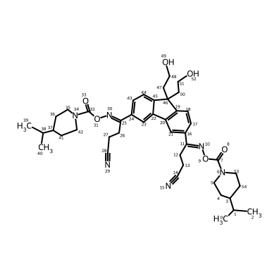 CC(C)C1CCN(C(=O)O/N=C(\CCC#N)c2ccc3c(c2)-c2cc(/C(CCC#N)=N/OC(=O)N4CCC(C(C)C)CC4)ccc2C3(CCO)CCO)CC1